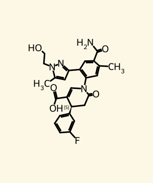 Cc1cc(N2C=C(C(=O)O)[C@H](c3cccc(F)c3)CC2=O)c(-c2cc(C)n(CCO)n2)cc1C(N)=O